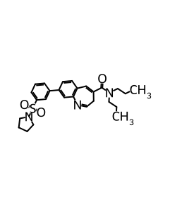 CCCN(CCC)C(=O)C1=Cc2ccc(-c3cccc(S(=O)(=O)N4CCCC4)c3)cc2N=CC1